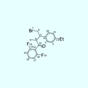 CCc1ccc(C(CBr)C(C)C(=O)c2c(F)cccc2F)cc1